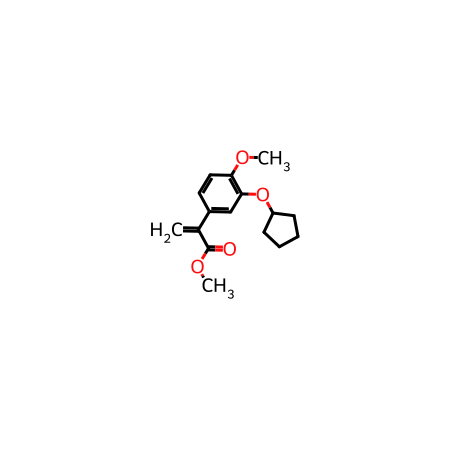 C=C(C(=O)OC)c1ccc(OC)c(OC2CCCC2)c1